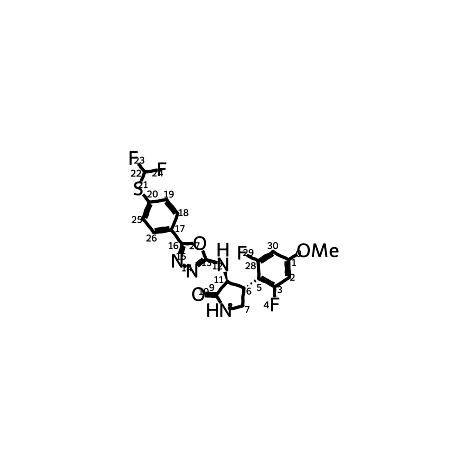 COc1cc(F)c([C@@H]2CNC(=O)[C@H]2Nc2nnc(-c3ccc(SC(F)F)cc3)o2)c(F)c1